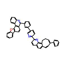 C1=C\c2ccc3ccc(-c4ccc(-c5cccc(-c6nc7ccccc7c7c6ccc6c8ccccc8oc67)c5)cn4)nc3c2CC\C=C/1c1ccccc1